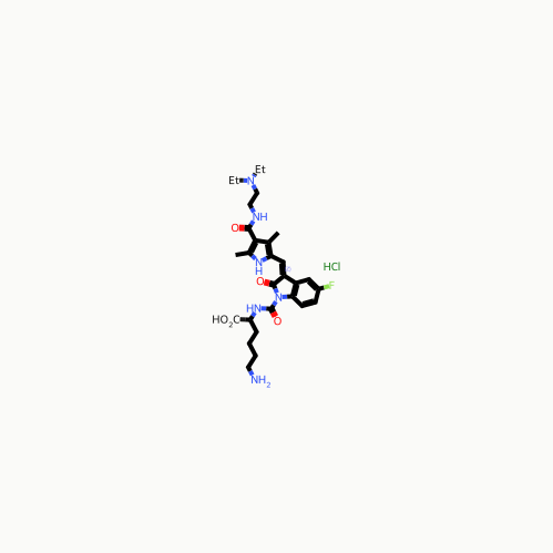 CCN(CC)CCNC(=O)c1c(C)[nH]c(/C=C2\C(=O)N(C(=O)NC(CCCCN)C(=O)O)c3ccc(F)cc32)c1C.Cl